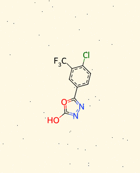 Oc1nnc(-c2ccc(Cl)c(C(F)(F)F)c2)o1